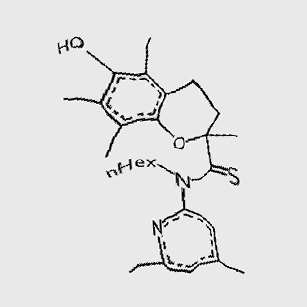 CCCCCCN(C(=S)C1(C)CCc2c(C)c(O)c(C)c(C)c2O1)c1cc(C)cc(C)n1